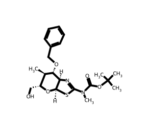 C[C@H]1[C@H](OCc2ccccc2)[C@H]2N=C(N(C)C(=O)OC(C)(C)C)S[C@H]2O[C@@H]1CO